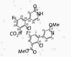 COC(=O)c1cc(F)cc(-c2ccnc(OC)c2)c1Cl.O=C(O)c1cc(F)cc(-c2cc[nH]c(=O)c2)c1Cl